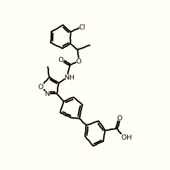 Cc1onc(-c2ccc(-c3cccc(C(=O)O)c3)cc2)c1NC(=O)OC(C)c1ccccc1Cl